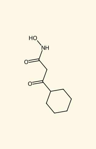 O=C(CC(=O)C1CCCCC1)NO